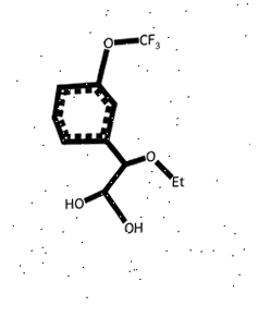 CCOC(c1cccc(OC(F)(F)F)c1)C(O)O